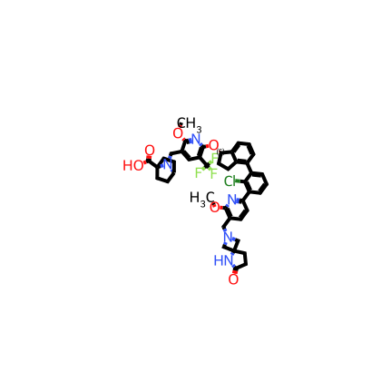 COc1nc(-c2cccc(-c3cccc4c3CC[C@@H]4Oc3nc(OC)c(CN4C5CCC4(C(=O)O)CC5)cc3C(F)(F)F)c2Cl)ccc1CN1CC2(CCC(=O)N2)C1